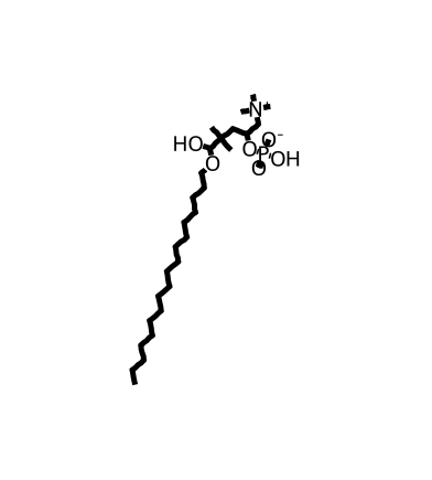 CCCCCCCCCCCCCCCCCCOC(O)C(C)(C)CC(C[N+](C)(C)C)OP(=O)([O-])O